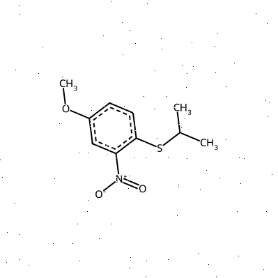 COc1ccc(SC(C)C)c([N+](=O)[O-])c1